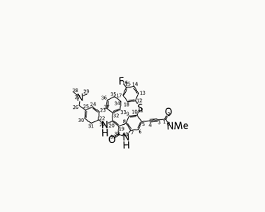 CNC(=O)C#Cc1cc2c(cc1Sc1ccc(F)cc1)/C(=C(/NC1C=CC(CN(C)C)=CC1)C1=CCCC=C1)C(=O)N2